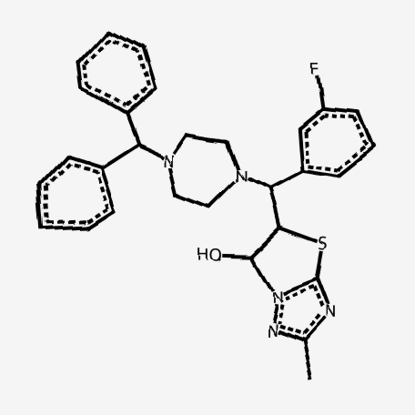 Cc1nc2n(n1)C(O)C(C(c1cccc(F)c1)N1CCN(C(c3ccccc3)c3ccccc3)CC1)S2